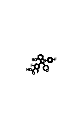 O=C(O)c1c(F)cc(-c2c(C3CCOCC3)n(-c3ccc(F)cc3)c3cccc(O)c23)cc1F